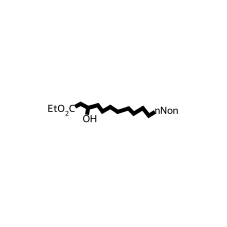 CCCCCCCCCCCCCCCCCC(O)CC(=O)OCC